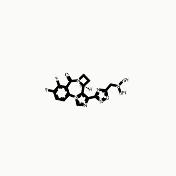 CCCN(CCC)Cc1nc(-c2ncn3c2[C@@H]2CCN2C(=O)c2c-3ccc(F)c2F)no1